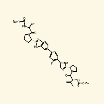 C=C(C)[C@H](NC(=O)OC)C(=O)N1CCC[C@H]1c1ncc(-c2ccc(-c3ccc4nc([C@@H]5CCCN5C(=O)C(NC(=O)OC)C(C)C)[nH]c4c3)cc2F)[nH]1